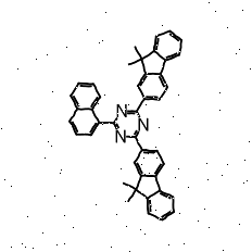 CC1(C)c2ccccc2-c2ccc(-c3nc(-c4ccc5c(c4)C(C)(C)c4ccccc4-5)nc(-c4cccc5ccccc45)n3)cc21